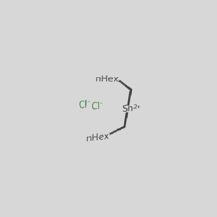 CCCCCC[CH2][Sn+2][CH2]CCCCCC.[Cl-].[Cl-]